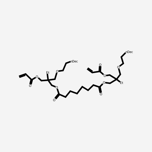 C=CC(=O)OCC(CC)(COCCCCCCCCCCCC)COC(=O)CCCCCCC(=O)OCC(CC)(COCCCCCCCCCCCC)COC(=O)C=C